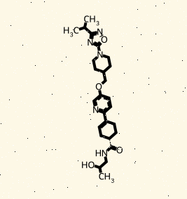 CC(O)CNC(=O)[C@@H]1CC=C(c2ccc(OCC3CCN(c4nc(C(C)C)no4)CC3)cn2)CC1